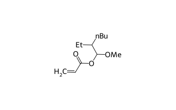 C=CC(=O)OC(OC)C(CC)CCCC